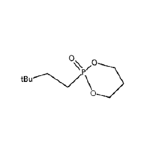 CC(C)(C)CCP1(=O)OCCCO1